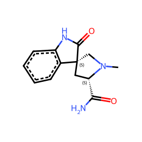 CN1C[C@@]2(C[C@H]1C(N)=O)C(=O)Nc1ccccc12